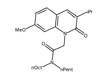 CCCCCCCCN(CCCCC)C(=O)Cn1c(=O)c(C(C)C)cc2ccc(OC)cc21